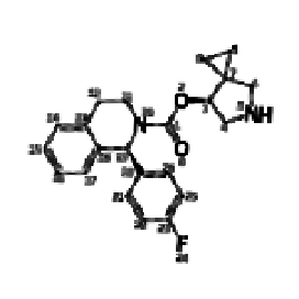 O=C(O[C@@H]1CNCC12CC2)N1CCc2ccccc2[C@@H]1c1ccc(F)cc1